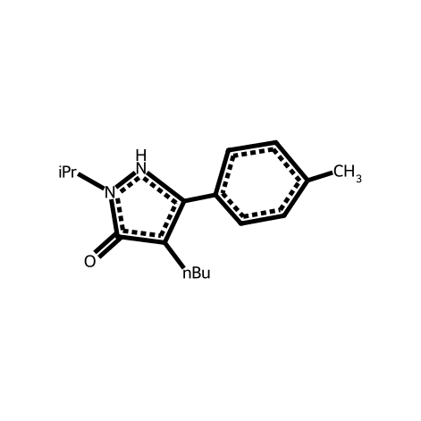 CCCCc1c(-c2ccc(C)cc2)[nH]n(C(C)C)c1=O